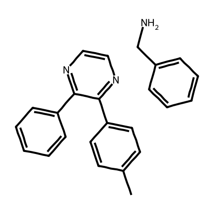 Cc1ccc(-c2nccnc2-c2ccccc2)cc1.NCc1ccccc1